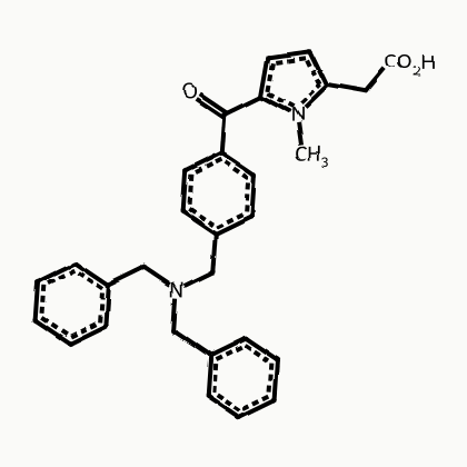 Cn1c(CC(=O)O)ccc1C(=O)c1ccc(CN(Cc2ccccc2)Cc2ccccc2)cc1